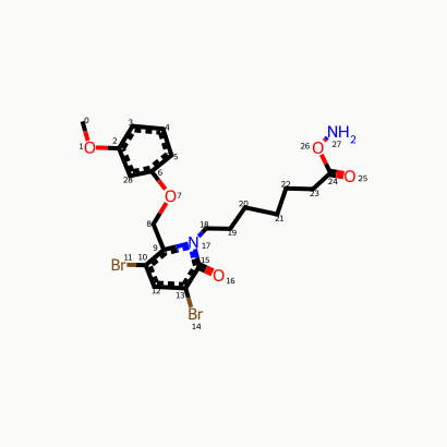 COc1cccc(OCc2c(Br)cc(Br)c(=O)n2CCCCCCC(=O)ON)c1